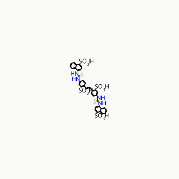 O=S(=O)(O)c1cc(NC(=S)Nc2ccc(S(=O)(=O)O)c3ccccc23)ccc1C=Cc1ccc(NC(=S)Nc2ccc(S(=O)(=O)O)c3ccccc23)cc1S(=O)(=O)O